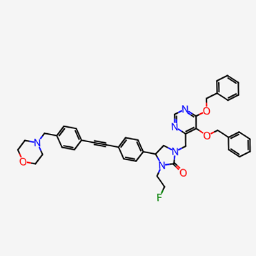 O=C1N(Cc2ncnc(OCc3ccccc3)c2OCc2ccccc2)CC(c2ccc(C#Cc3ccc(CN4CCOCC4)cc3)cc2)N1CCF